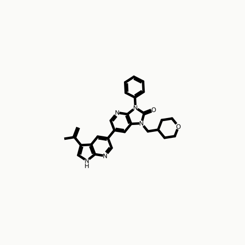 C=C(C)c1c[nH]c2ncc(-c3cnc4c(c3)n(CC3CCOCC3)c(=O)n4-c3ccccc3)cc12